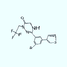 O=C1CNC(c2cc(Br)cc(-c3ccsc3)c2)=NN1CC(F)(F)F